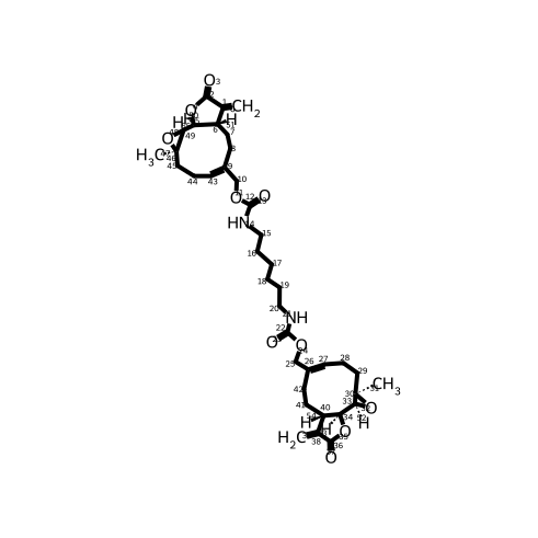 C=C1C(=O)O[C@H]2[C@H]1CC/C(COC(=O)NCCCCCCNC(=O)OC/C1=C/CC[C@@]3(C)O[C@H]3[C@H]3OC(=O)C(=C)[C@@H]3CC1)=C\CC[C@@]1(C)O[C@@H]21